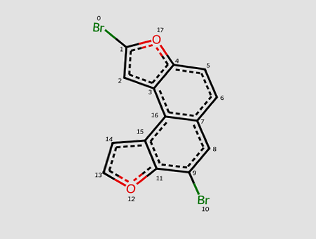 Brc1cc2c(ccc3cc(Br)c4occc4c32)o1